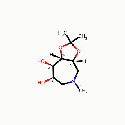 CN1C[C@@H](O)[C@@H](O)[C@@H]2OC(C)(C)O[C@@H]2C1